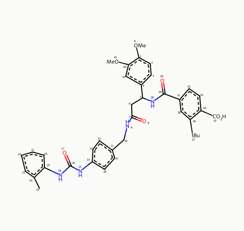 COc1ccc(C(CC(=O)NCc2ccc(NC(=O)Nc3ccccc3C)cc2)NC(=O)c2ccc(C(=O)O)c(C(C)(C)C)c2)cc1OC